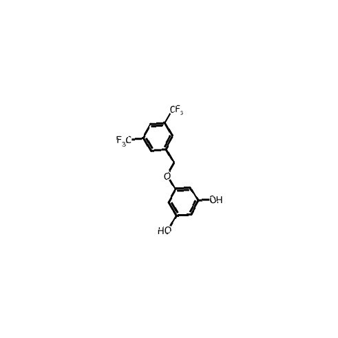 Oc1cc(O)cc(OCc2cc(C(F)(F)F)cc(C(F)(F)F)c2)c1